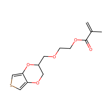 C=C(C)C(=O)OCCOCC1COc2cscc2O1